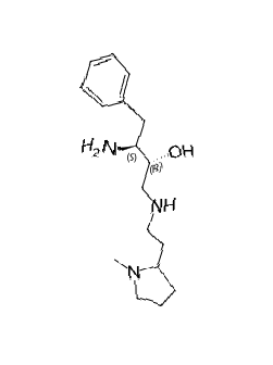 CN1CCCC1CCNC[C@@H](O)[C@@H](N)Cc1ccccc1